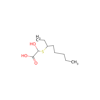 CCCCCC(CC)SC(O)C(=O)O